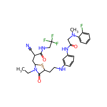 CCN1C(=O)C(CCNc2cccc(NC(=O)CN(C)c3ccccc3F)c2)SC1CC(C#N)C(=O)NCC(F)(F)F